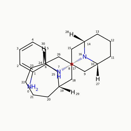 Nc1ccccc1N[C@H]1C[C@H]2CCC[C@@H](C1)N2[C@@H]1C[C@@H]2CCCC[C@@H](C2)C1